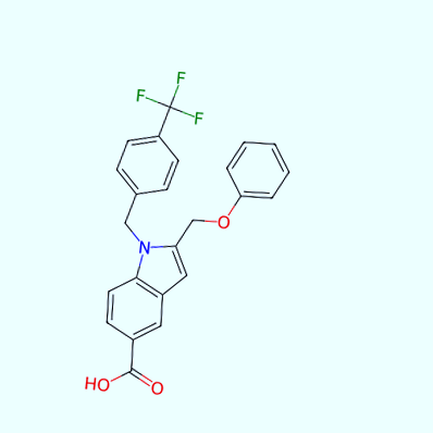 O=C(O)c1ccc2c(c1)cc(COc1ccccc1)n2Cc1ccc(C(F)(F)F)cc1